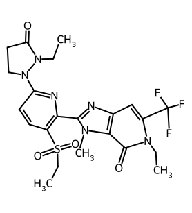 CCN1C(=O)CCN1c1ccc(S(=O)(=O)CC)c(-c2nc3cc(C(F)(F)F)n(CC)c(=O)c3n2C)n1